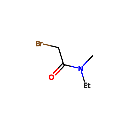 CCN(C)C(=O)CBr